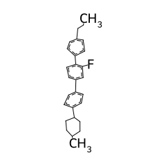 CCCc1ccc(-c2ccc(-c3ccc(C4CCC(C)CC4)cc3)cc2F)cc1